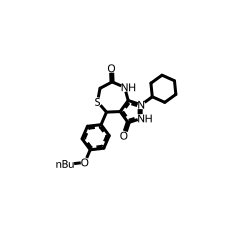 CCCCOc1ccc(C2SCC(=O)Nc3c2c(=O)[nH]n3C2CCCCC2)cc1